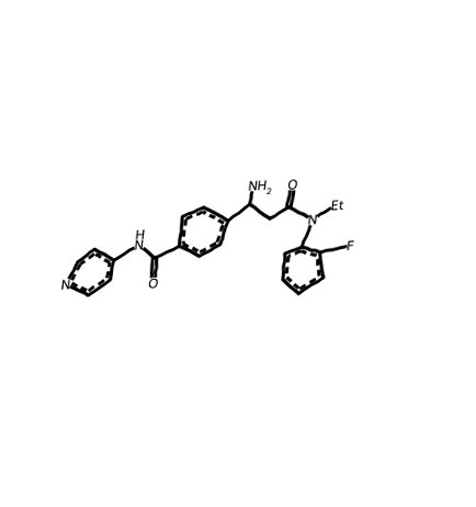 CCN(C(=O)CC(N)c1ccc(C(=O)Nc2ccncc2)cc1)c1ccccc1F